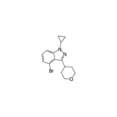 Brc1cccc2c1c(C1CCOCC1)nn2C1CC1